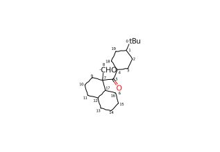 CC(C)(C)C1CCC(C(=O)C2([C]=O)CCCC3CCCCC32)CC1